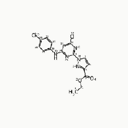 CCOC(=O)c1ccn(-c2nc(Cl)cc(Nc3ccc(Cl)cc3)n2)n1